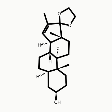 CC1=C[C@@H]2[C@H]3CC[C@@H]4C[C@H](O)CC[C@@]4(C)[C@@H]3CC[C@@]2(C)C12OCCO2